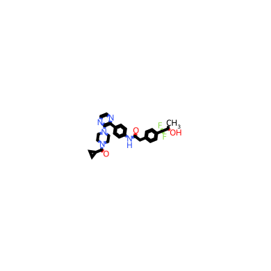 CC(O)C(F)(F)c1ccc(CC(=O)Nc2ccc(-c3nccnc3N3CCN(C(=O)C4CC4)CC3)cc2)cc1